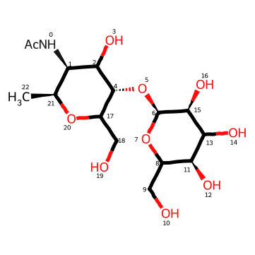 CC(=O)N[C@H]1C(O)[C@H](O[C@@H]2OC(CO)[C@H](O)C(O)[C@@H]2O)C(CO)O[C@H]1C